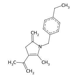 C=C(C)C1=C(C)N(Cc2ccc(CC)cc2)C(=C)C1